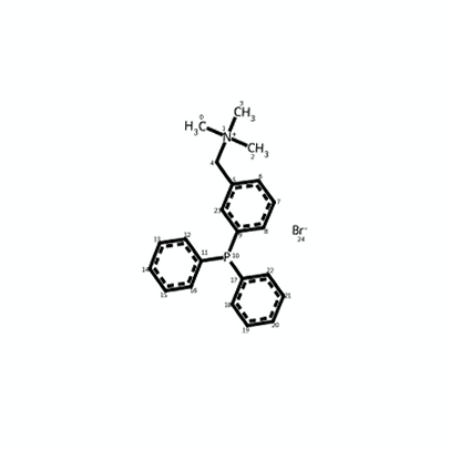 C[N+](C)(C)Cc1cccc(P(c2ccccc2)c2ccccc2)c1.[Br-]